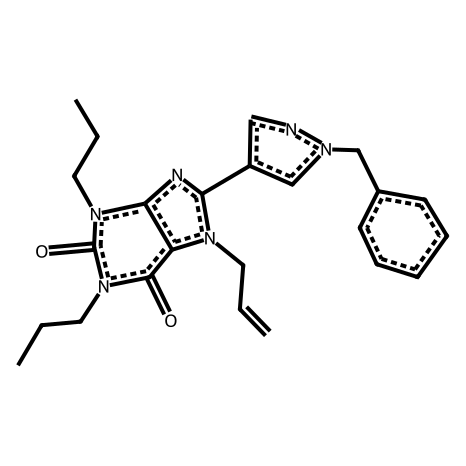 C=CCn1c(-c2cnn(Cc3ccccc3)c2)nc2c1c(=O)n(CCC)c(=O)n2CCC